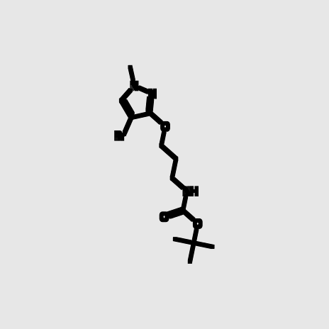 Cn1cc(Br)c(OCCCNC(=O)OC(C)(C)C)n1